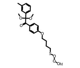 COC(OC)(C(=O)c1ccc(OCCCCSOOO)cc1)c1cccc(C)c1